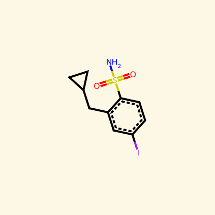 NS(=O)(=O)c1ccc(I)cc1CC1CC1